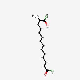 CC(CCCCCCCCCCCC(=O)Cl)C(=O)Cl